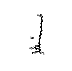 CCCCCCCCCCCCCCCCCCN(CC(C)O)CC(C)O.Cl